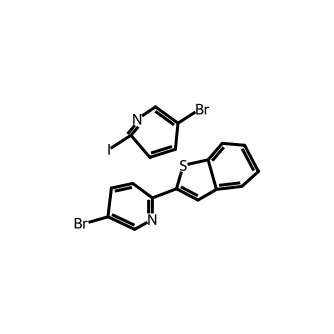 Brc1ccc(-c2cc3ccccc3s2)nc1.Brc1ccc(I)nc1